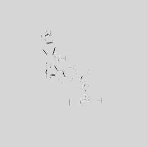 CN(C)C1CN(C(=O)[C@H]2CCc3c(sc4ncnc(Nc5ccc6nnsc6c5)c34)C2)C1